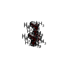 CC(C)=CC1C(C(=O)OCc2cccc(Oc3ccccc3)c2)C1(C)C.CC[C@H]1CCC[C@H](O[C@H]2CC[C@H](N(C)C)[C@@H](C)O2)[C@@H](C)C(=O)C2=C[C@@H]3[C@@H](C=C(C)[C@@H]4C[C@@H](O[C@@H]5O[C@@H](C)[C@H](OC)[C@@H](OC)[C@H]5OC)C[C@@H]34)[C@@H]2CC(=O)O1.CC[C@H]1CCC[C@H](O[C@H]2CC[C@H](N(C)C)[C@@H](C)O2)[C@@H](C)C(=O)C2=C[C@@H]3[C@@H](C=C[C@@H]4C[C@@H](O[C@@H]5O[C@@H](C)[C@H](OC)[C@@H](OC)[C@H]5OC)C[C@@H]34)[C@@H]2CC(=O)O1